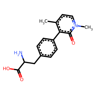 Cc1ccn(C)c(=O)c1-c1ccc(CC(N)C(=O)O)cc1